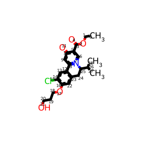 CCOC(=O)c1cn2c(cc1=O)-c1cc(Cl)c(OCCCO)cc1CC2C(C)C